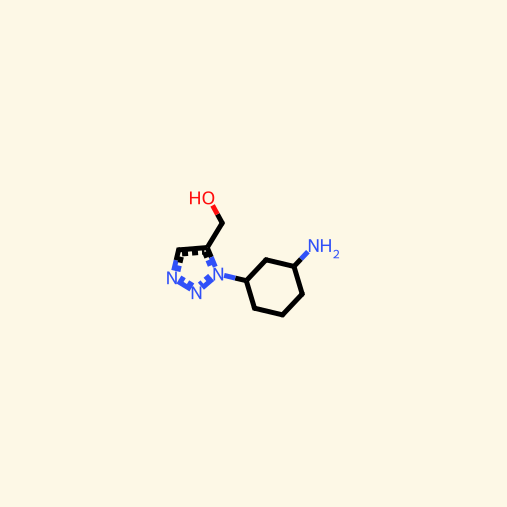 NC1CCCC(n2nncc2CO)C1